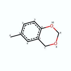 Cc1ccc2c(c1)COCO2